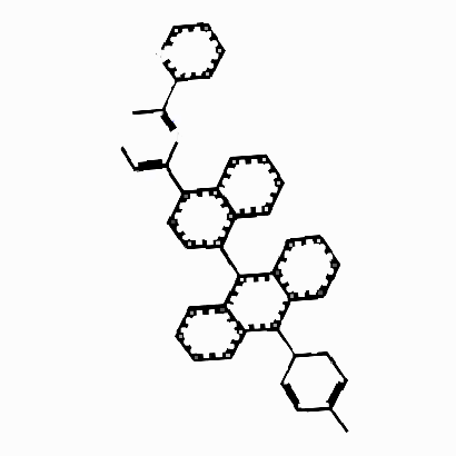 CC/C=C(\N=C(/C)c1ccccn1)c1ccc(-c2c3ccccc3c(C3C=CC(C)=CC3)c3ccccc23)c2ccccc12